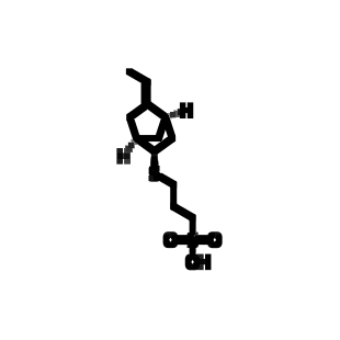 C/C=C1\C[C@H]2C[C@@H]1C[C@H]2SCCCS(=O)(=O)O